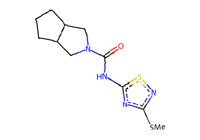 CSc1nsc(NC(=O)N2CC3CCCC3C2)n1